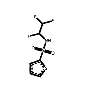 O=S(=O)(NC(F)C(F)F)c1cccs1